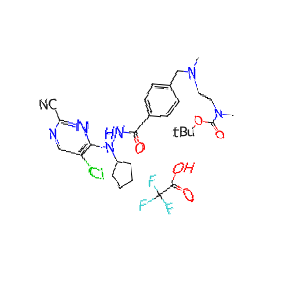 CN(CCN(C)C(=O)OC(C)(C)C)Cc1ccc(C(=O)NN(c2nc(C#N)ncc2Cl)C2CCCC2)cc1.O=C(O)C(F)(F)F